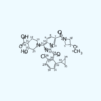 COC1CN(C(=O)c2ccc3c(N4CCC(C(=O)O)C(O)C4)nc(C(=O)c4c(Cl)cccc4C4CC4)n3c2)C1